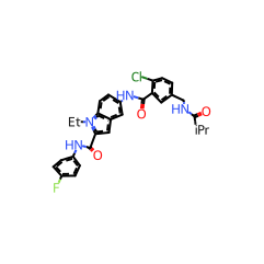 CCn1c(C(=O)Nc2ccc(F)cc2)cc2cc(NC(=O)c3cc(CNC(=O)C(C)C)ccc3Cl)ccc21